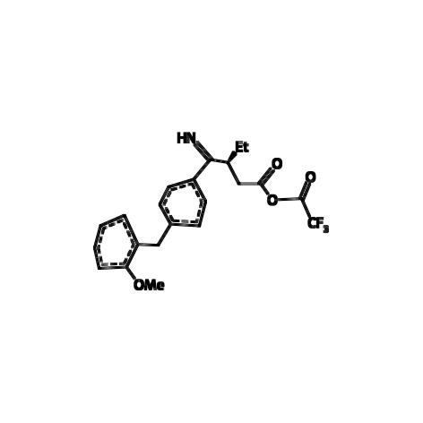 CC[C@@H](CC(=O)OC(=O)C(F)(F)F)C(=N)c1ccc(Cc2ccccc2OC)cc1